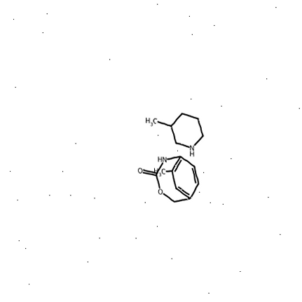 CC1CCCNC1.Cc1cc2ccc1NC(=O)OC2